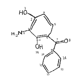 Nc1c(O)ccc(C(=O)c2ccccc2)c1O